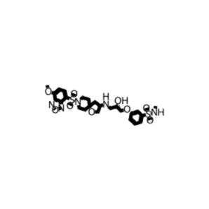 CNS(=O)(=O)c1cccc(OC[C@@H](O)CNC2COC3(CCN(S(=O)(=O)c4ccc(OC)c5nonc45)CC3)C2)c1